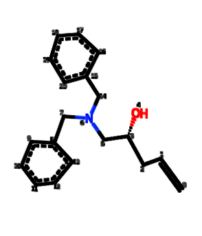 C=CC[C@@H](O)CN(Cc1ccccc1)Cc1ccccc1